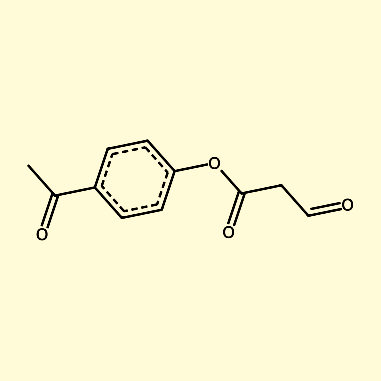 CC(=O)c1ccc(OC(=O)CC=O)cc1